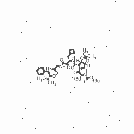 CN(C)C(=O)[C@@H](NC(=O)CNC(=O)C(=O)[C@@H](CC1CCC1)NC(=O)[C@@H]1[C@H]2OC(C)(C)O[C@H]2CN1C(=O)[C@@H](NC(=O)OC(C)(C)C)C(C)(C)C)c1ccccc1